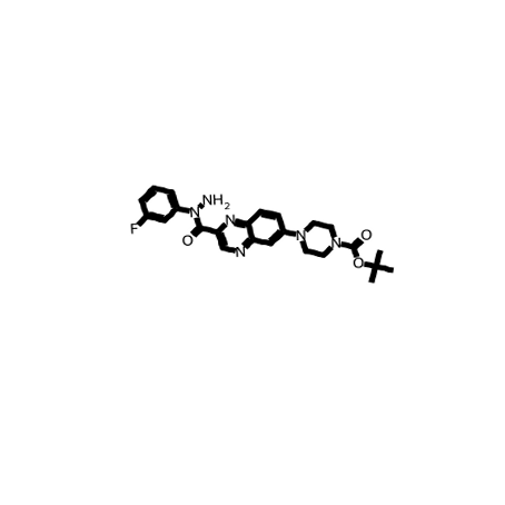 CC(C)(C)OC(=O)N1CCN(c2ccc3nc(C(=O)N(N)c4cccc(F)c4)cnc3c2)CC1